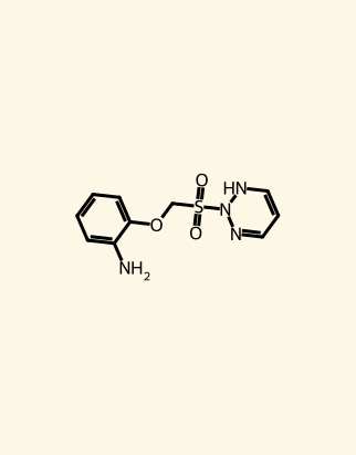 Nc1ccccc1OCS(=O)(=O)N1N=CC=CN1